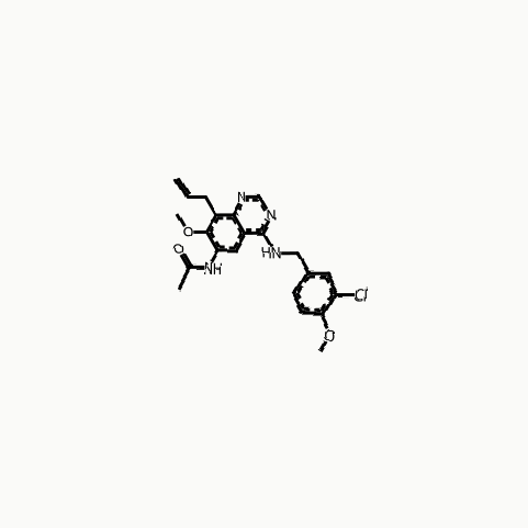 C=CCc1c(OC)c(NC(C)=O)cc2c(NCc3ccc(OC)c(Cl)c3)ncnc12